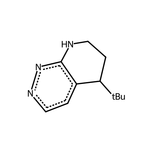 CC(C)(C)C1CCNc2nnccc21